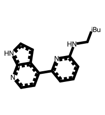 CCC(C)CNc1cccc(-c2ccnc3[nH]ccc23)n1